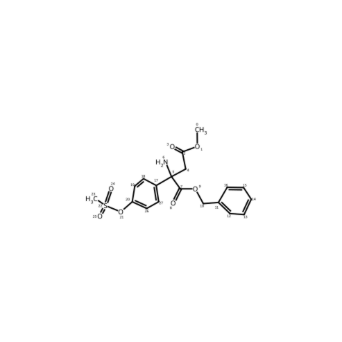 COC(=O)CC(N)(C(=O)OCc1ccccc1)c1ccc(OS(C)(=O)=O)cc1